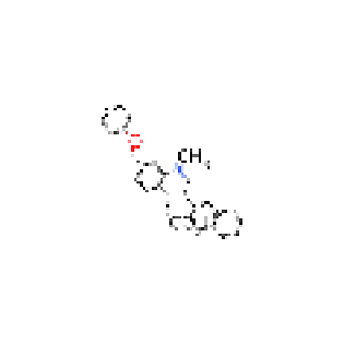 CN(CCc1ccc2ccccc2c1)c1cc(COc2ccccc2)ccc1CCC(=O)O